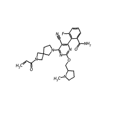 C=CC(=O)N1CC2(CCN(c3nc(OCC4CCCN4C)nc(-c4c(F)cccc4C(N)=O)c3C#N)C2)C1